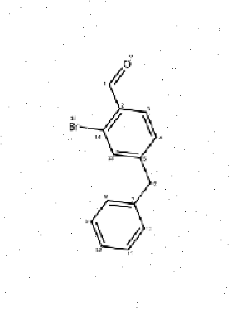 O=Cc1ccc(Cc2ccccc2)cc1Br